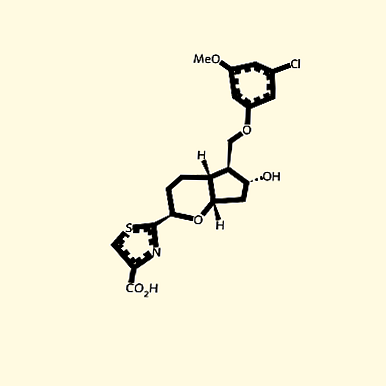 COc1cc(Cl)cc(OC[C@@H]2[C@H]3CC[C@H](c4nc(C(=O)O)cs4)O[C@H]3C[C@H]2O)c1